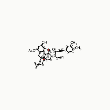 CC(=O)Oc1cc(O)c2c3c1C[C@@H]1[C@@H]4CC[C@@H](N(CC(C)C)C(=O)C#Cc5ccc(C)c(C)c5)[C@H](O2)[C@]34CCN1CC1CC1